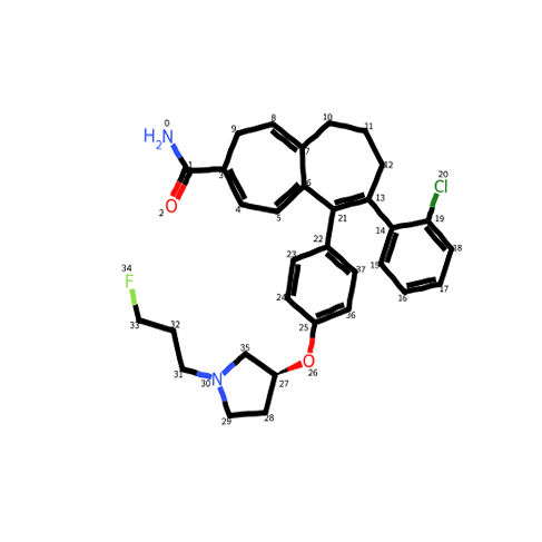 NC(=O)C1=CC=C2C(=CC1)CCCC(c1ccccc1Cl)=C2c1ccc(O[C@H]2CCN(CCCF)C2)cc1